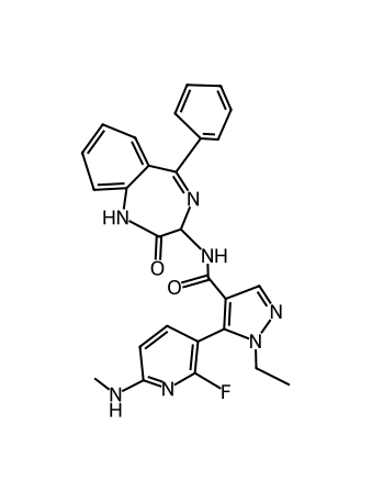 CCn1ncc(C(=O)NC2N=C(c3ccccc3)c3ccccc3NC2=O)c1-c1ccc(NC)nc1F